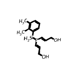 Cc1cccc([SiH2]P(C=CCO)C=CCO)c1C